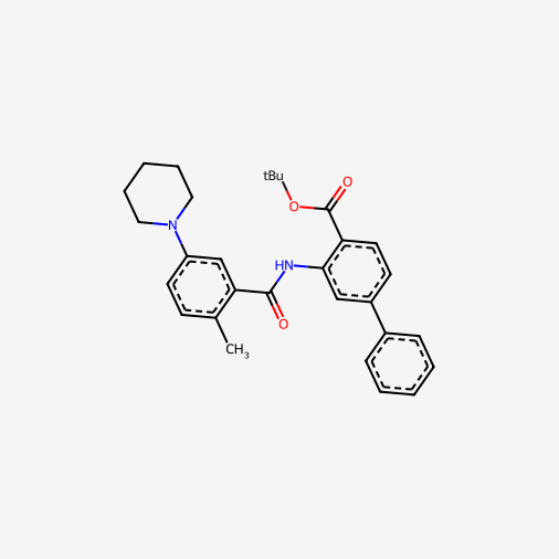 Cc1ccc(N2CCCCC2)cc1C(=O)Nc1cc(-c2ccccc2)ccc1C(=O)OC(C)(C)C